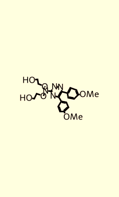 COc1ccc(-c2nnc(N(OCCO)OCCO)nc2-c2ccc(OC)cc2)cc1